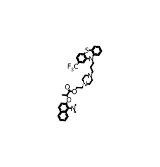 CC(Oc1ccc2ccccc2c1N(C)C)C(=O)OCCN1CCN(CCCN2c3ccccc3Sc3ccc(C(F)(F)F)cc32)CC1